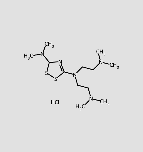 CN(C)CCN(CCN(C)C)C1=NC(N(C)C)SS1.Cl